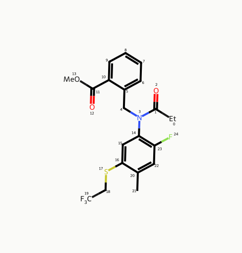 CCC(=O)N(Cc1ccccc1C(=O)OC)c1cc(SCC(F)(F)F)c(C)cc1F